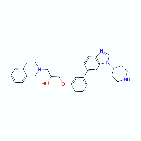 OC(COc1cccc(-c2ccc3ncn(C4CCNCC4)c3c2)c1)CN1CCc2ccccc2C1